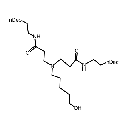 CCCCCCCCCCCCNC(=O)CCN(CCCCCO)CCC(=O)NCCCCCCCCCCCC